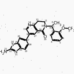 C[C@@H](c1ccccc1OC(F)(F)F)N1CCc2ncc(-c3ccc4nc(N)sc4c3)cc2C1=O